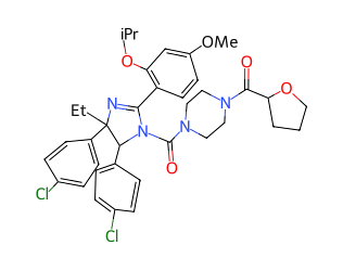 CCC1(c2ccc(Cl)cc2)N=C(c2ccc(OC)cc2OC(C)C)N(C(=O)N2CCN(C(=O)C3CCCO3)CC2)C1c1ccc(Cl)cc1